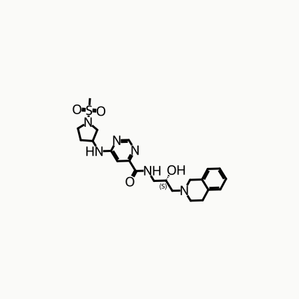 CS(=O)(=O)N1CCC(Nc2cc(C(=O)NC[C@H](O)CN3CCc4ccccc4C3)ncn2)C1